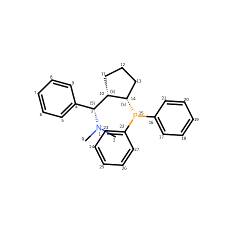 CN(C)[C@H](c1ccccc1)[C@@H]1CCC[C@@H]1P(c1ccccc1)c1ccccc1